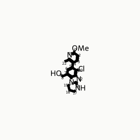 COc1ccc(-c2cc(CO)c3c(nc4n3CCCN4)c2Cl)c(C)n1